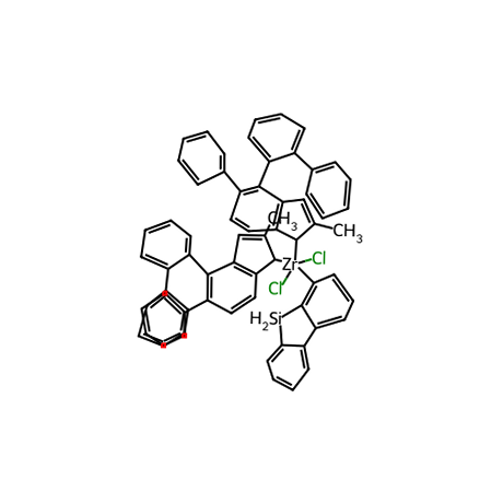 CC1=Cc2c(ccc(-c3ccccc3)c2-c2ccccc2-c2ccccc2)[CH]1[Zr]([Cl])([Cl])([c]1cccc2c1[SiH2]c1ccccc1-2)[CH]1C(C)=Cc2c1ccc(-c1ccccc1)c2-c1ccccc1-c1ccccc1